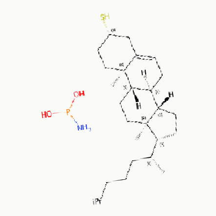 CC(C)CCC[C@@H](C)[C@H]1CC[C@H]2[C@@H]3CC=C4C[C@@H](S)CC[C@]4(C)[C@H]3CC[C@]12C.NP(O)O